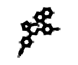 Cn1cncc1C(OCc1ccc(Cl)cc1-c1cccc2ccccc12)c1ccc(C#N)cc1